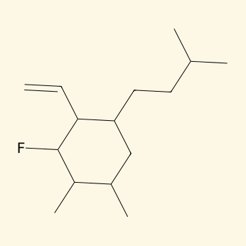 C=CC1C(CCC(C)C)CC(C)C(C)C1F